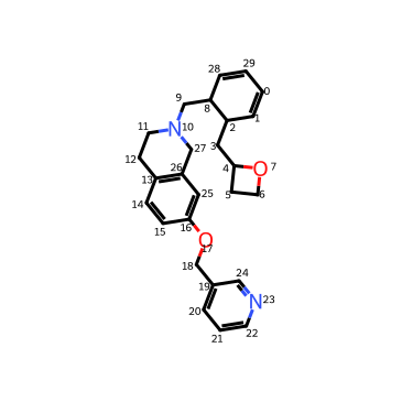 C1=CC(CC2CCO2)C(CN2CCc3ccc(OCc4cccnc4)cc3C2)C=C1